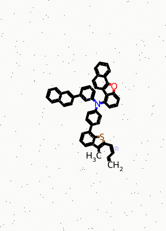 C=C/C=C\c1sc2c(-c3ccc(N(c4cccc(-c5ccc6ccccc6c5)c4)c4cccc5oc6c7ccccc7ccc6c45)cc3)cccc2c1C